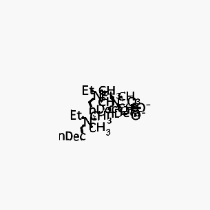 CCCCCCCCCCC[N+](C)(C)CC.CCCCCCCCCCC[N+](C)(C)CC.CCCCCCCCCCC[N+](C)(C)CC.O=P([O-])([O-])[O-]